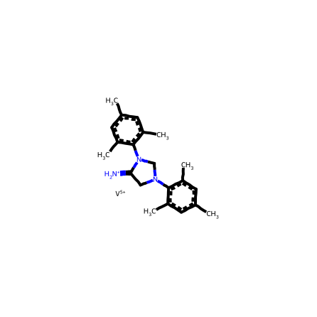 Cc1cc(C)c(N2CC(=[NH2+])N(c3c(C)cc(C)cc3C)C2)c(C)c1.[V+5]